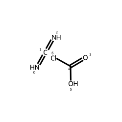 N=C=N.O=C(O)Cl